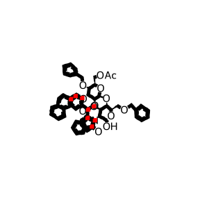 CC(=O)OC[C@H]1O[C@@H](O[C@H]2[C@H](OCc3ccccc3)[C@@H](N3C(=O)c4ccccc4C3=O)C(O)O[C@@H]2COCc2ccccc2)[C@@H](OCc2ccccc2)[C@@H](OCc2ccc3ccccc3c2)[C@@H]1OCc1ccccc1